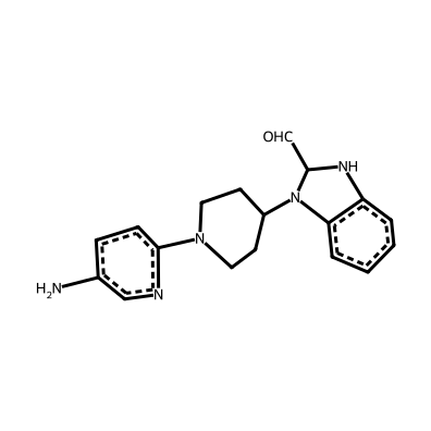 Nc1ccc(N2CCC(N3c4ccccc4NC3C=O)CC2)nc1